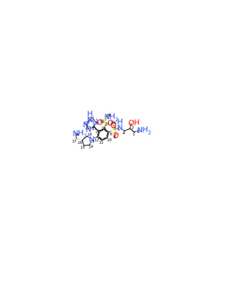 NCC(O)CNS(=O)(=O)c1ccc(N2CC[C@H](CN)C2)c(-c2nn[nH]n2)c1S(N)(=O)=O